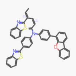 C=C(/C=C\C(=C/C)c1nc2ccccc2s1)N(c1ccc(-c2nc3ccccc3s2)cc1)c1ccc(-c2cccc3c2oc2ccccc23)cc1